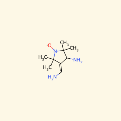 CC1(C)C(=CN)C(N)C(C)(C)N1[O]